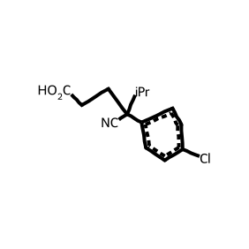 CC(C)C(C#N)(CCC(=O)O)c1ccc(Cl)cc1